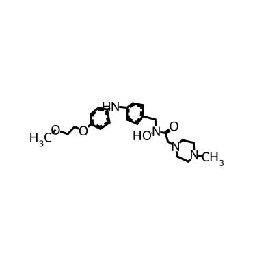 COCCOc1ccc(Nc2ccc(CN(O)C(=O)CN3CCN(C)CC3)cc2)cc1